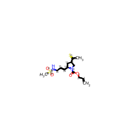 C=CCOC(=O)N1CC(C(C)=S)CC1C=CCNS(C)(=O)=O